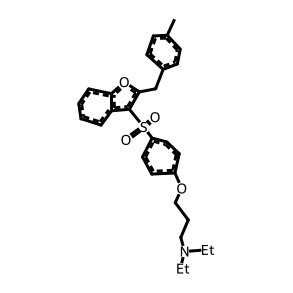 CCN(CC)CCCOc1ccc(S(=O)(=O)c2c(Cc3ccc(C)cc3)oc3ccccc23)cc1